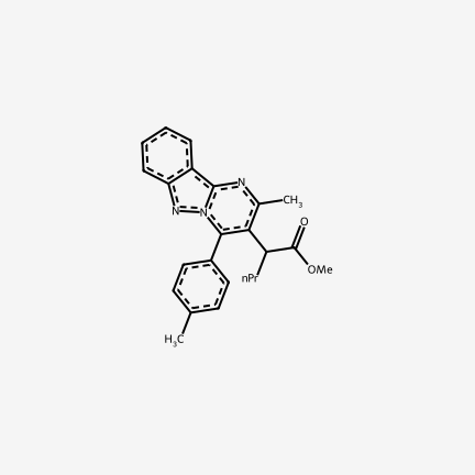 CCCC(C(=O)OC)c1c(C)nc2c3ccccc3nn2c1-c1ccc(C)cc1